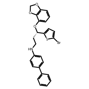 Brc1ccc([C@H](CCNc2ccc(-c3ccccc3)cc2)Oc2cccc3c2OCO3)s1